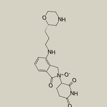 O=C1CCC([N+]2([O-])Cc3c(NCCC[C@H]4CNCCO4)cccc3C2=O)C(=O)N1